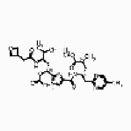 COC(=O)[C@@H](C)C[C@H](Cc1ncc(C)cn1)NC(=O)c1csc([C@@H](CC(NC(=O)CC2COC2)C(C)C)OC(C)=O)n1